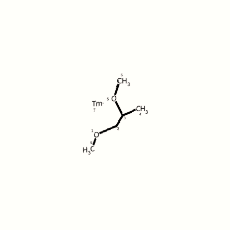 COCC(C)OC.[Tm]